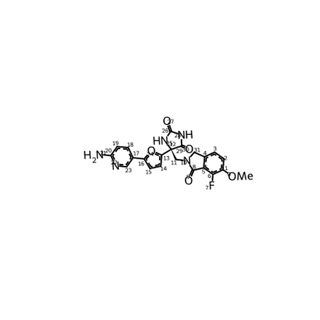 COc1ccc2c(c1F)C(=O)N(C[C@@]1(c3ccc(-c4ccc(N)nc4)o3)NC(=O)NC1=O)C2